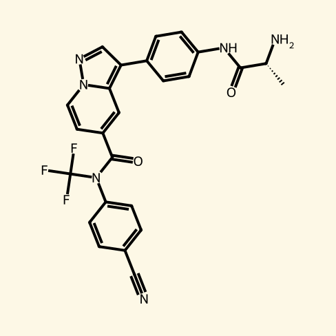 C[C@@H](N)C(=O)Nc1ccc(-c2cnn3ccc(C(=O)N(c4ccc(C#N)cc4)C(F)(F)F)cc23)cc1